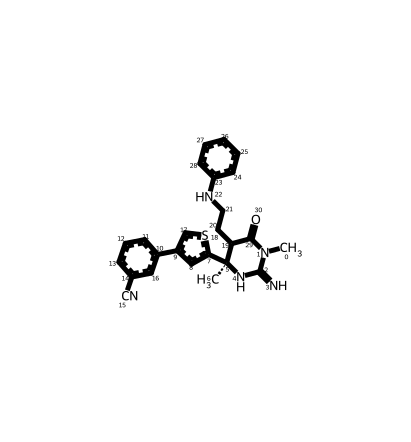 CN1C(=N)N[C@@](C)(c2cc(-c3cccc(C#N)c3)cs2)C(CCNc2ccccc2)C1=O